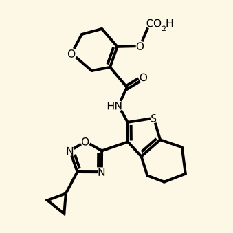 O=C(O)OC1=C(C(=O)Nc2sc3c(c2-c2nc(C4CC4)no2)CCCC3)COCC1